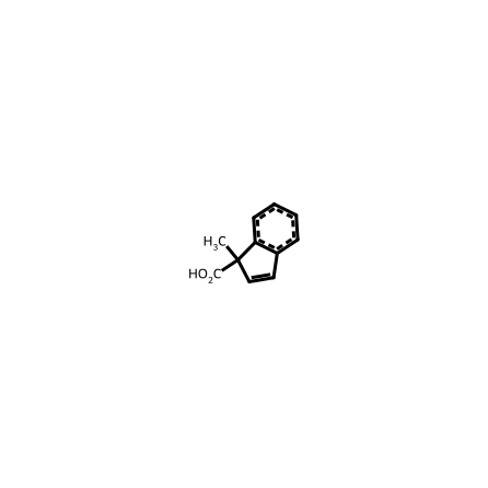 CC1(C(=O)O)C=Cc2ccccc21